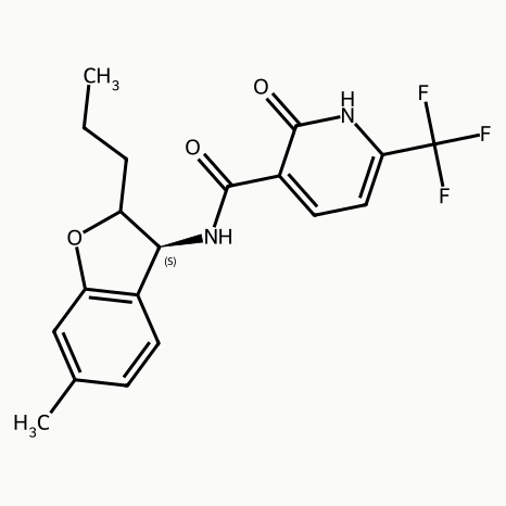 CCCC1Oc2cc(C)ccc2[C@@H]1NC(=O)c1ccc(C(F)(F)F)[nH]c1=O